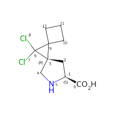 O=C(O)[C@@H]1C[C@@]2(CN1)C(Cl)(Cl)C21CCC1